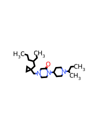 CCCC(CC)CC1(CN2CCN(C3CCN(C(C)CC)CC3)C(=O)C2)CC1